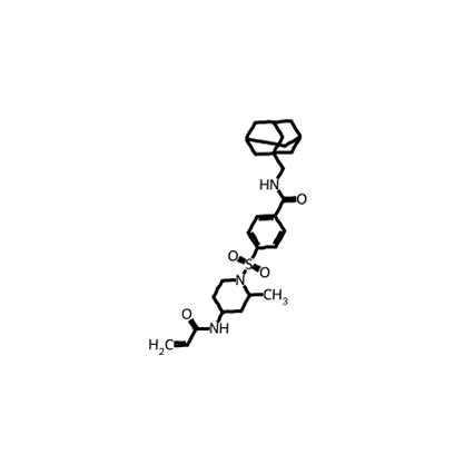 C=CC(=O)NC1CCN(S(=O)(=O)c2ccc(C(=O)NCC34CC5CC(CC(C5)C3)C4)cc2)C(C)C1